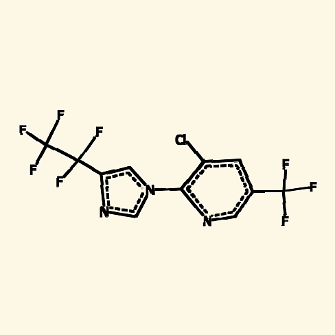 FC(F)(F)c1cnc(-n2cnc(C(F)(F)C(F)(F)F)c2)c(Cl)c1